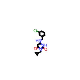 O=c1cc(NCc2cccc(Cl)c2)[nH]c(=O)n1CC1CC1